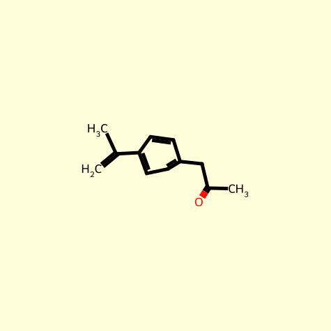 C=C(C)c1ccc(CC(C)=O)cc1